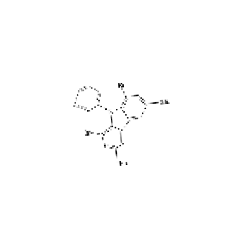 CC(C)(C)c1cc(Br)c2c(c1)c1cc(C(C)(C)C)cc(Br)c1n2-c1ccccc1